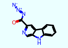 [N-]=[N+]=NC(=O)c1cc2c(cn1)[nH]c1ccccc12